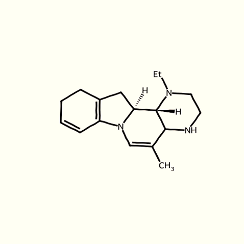 CCN1CCNC2C(C)=CN3C4=C(CCC=C4)C[C@H]3[C@@H]21